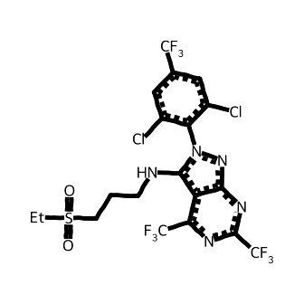 CCS(=O)(=O)CCCNc1c2c(C(F)(F)F)nc(C(F)(F)F)nc2nn1-c1c(Cl)cc(C(F)(F)F)cc1Cl